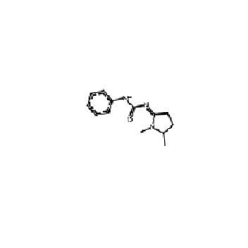 CC1CC/C(=N/C(=O)Nc2ccccc2)N1C